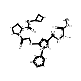 C[C@H](NC(=O)c1cc(OCC(=O)N2CCC[C@H]2C(=O)NC2CCC2)n(-c2ccccc2)n1)C(=O)OC(C)(C)C